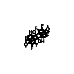 COc1c(F)c(F)c(C(O)(c2ccc(C)cc2)C(O)(c2ccc(C)cc2)c2c(F)c(F)c(OC)c(F)c2F)c(F)c1F